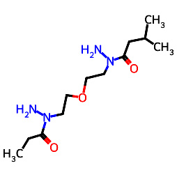 CCC(=O)N(N)CCOCCN(N)C(=O)CC(C)C